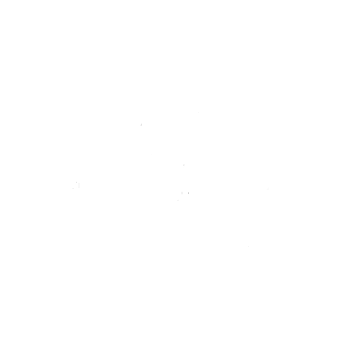 BrCCc1ccccc1Oc1ccccc1